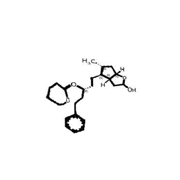 C[C@@H]1C[C@@H]2OC(O)C[C@@H]2[C@H]1CC[C@H](CCc1ccccc1)OC1CCCCO1